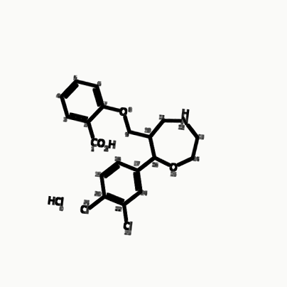 Cl.O=C(O)c1ccccc1OCC1CNCCOC1c1ccc(Cl)c(Cl)c1